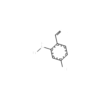 C=Cc1ccc(C)cc1NCCC